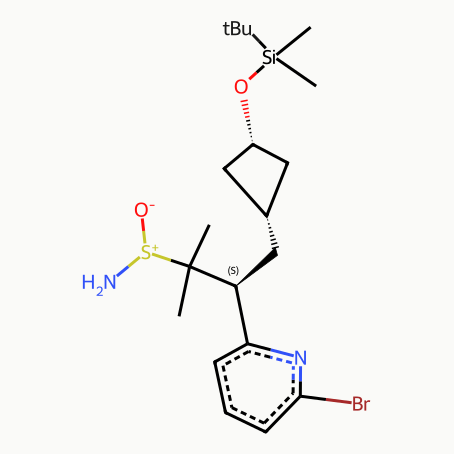 CC(C)([C@@H](C[C@H]1C[C@@H](O[Si](C)(C)C(C)(C)C)C1)c1cccc(Br)n1)[S+](N)[O-]